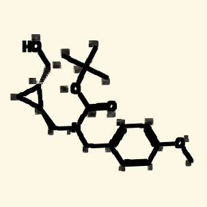 COc1ccc(CN(C[C@H]2C[C@@H]2CO)C(=O)OC(C)(C)C)cc1